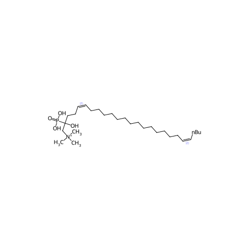 CCCC/C=C\CCCCCCCCCCCCCC/C=C\CCC(O)(C[N+](C)(C)C)P(=O)(O)O